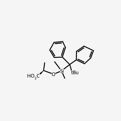 C[C@@H](O[Si](C)(C)C(c1ccccc1)(c1ccccc1)C(C)(C)C)C(=O)O